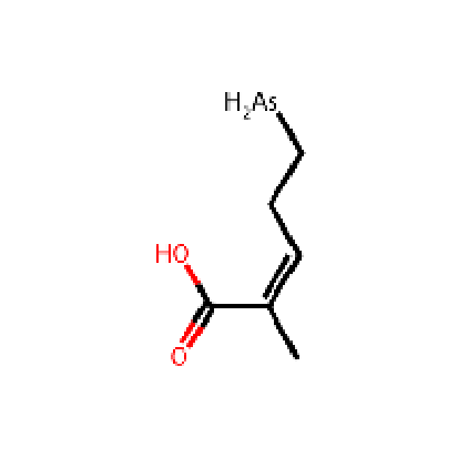 CC(=CCC[AsH2])C(=O)O